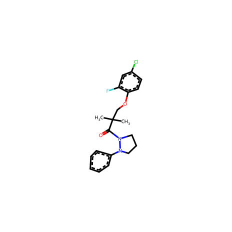 CC(C)(COc1ccc(Cl)cc1F)C(=O)N1CCCN1c1ccccc1